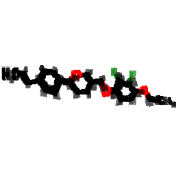 C/C=C/c1ccc(C2CCC(COc3ccc(OCC)c(F)c3F)CO2)cc1